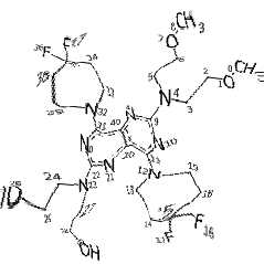 COCCN(CCOC)c1nc(N2CCC(F)(F)CC2)c2nc(N(CCO)CCO)nc(N3CCC(F)(F)CC3)c2n1